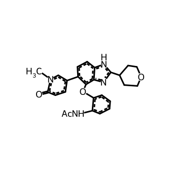 CC(=O)Nc1ccccc1Oc1c(-c2ccc(=O)n(C)c2)ccc2[nH]c(C3CCOCC3)nc12